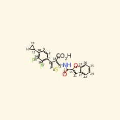 O=C(Nc1scc(-c2ccc(C3CC3)c(F)c2F)c1C(=O)O)c1cc2ccccc2o1